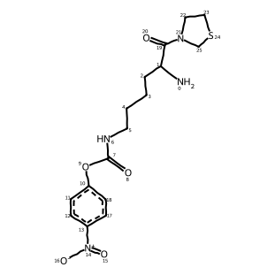 NC(CCCCNC(=O)Oc1ccc([N+](=O)[O-])cc1)C(=O)N1CCSC1